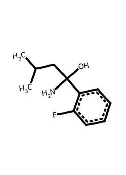 CC(C)CC(N)(O)c1ccccc1F